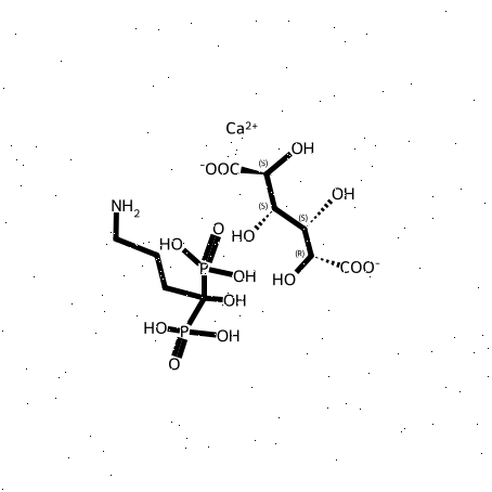 NCCCC(O)(P(=O)(O)O)P(=O)(O)O.O=C([O-])[C@@H](O)[C@@H](O)[C@H](O)[C@@H](O)C(=O)[O-].[Ca+2]